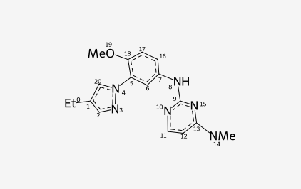 CCc1cnn(-c2cc(Nc3nccc(NC)n3)ccc2OC)c1